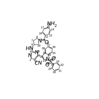 N#Cc1cnc(NC2CCN(C(=O)c3ccc(N)cc3)C2)nc1-c1cn(S(=O)(=O)c2ccccc2)c2ccccc12